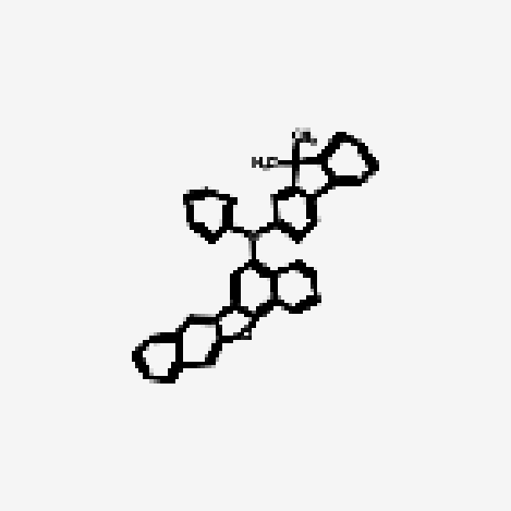 CC1(C)c2ccccc2-c2ccc(N(c3ccccc3)c3cc4c5cc6ccccc6cc5oc4c4ccccc34)cc21